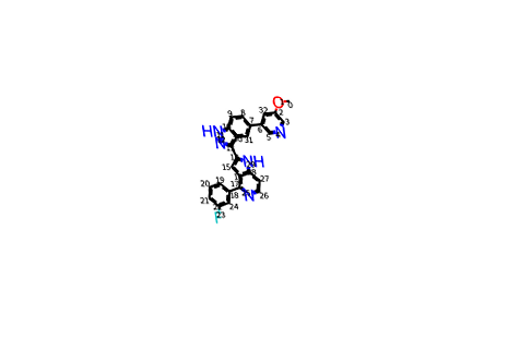 COc1cncc(-c2ccc3[nH]nc(-c4cc5c(-c6cccc(F)c6)nccc5[nH]4)c3c2)c1